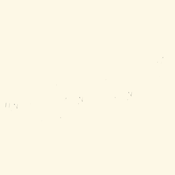 NC1=CCC(N2CCC(N3CCCC(O)C3)CC2)C=C1